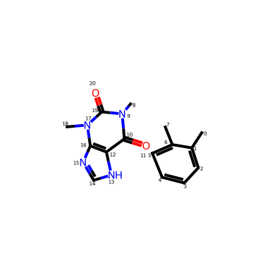 Cc1ccccc1C.Cn1c(=O)c2[nH]cnc2n(C)c1=O